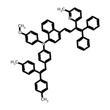 COc1ccc(N(c2ccc(C=C(c3ccc(C)cc3)c3ccc(C)cc3)cc2)c2ccc(/C=C/C(=C(c3ccccc3)c3ccccc3)c3cccc(C)n3)c3ccccc23)cc1